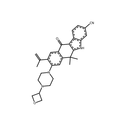 C=C(C)c1cc2c(cc1N1CCN(C3COC3)CC1)C(C)(C)c1[nH]c3cc(C#N)ccc3c1C2=O